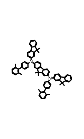 Cc1cccc(C)c1-c1ccc(N(c2ccc3c(c2)C(C)(C)c2ccccc2-3)c2ccc3c(c2)C(C)(C)c2cc(N(c4ccc(-c5c(C)cccc5C)cc4)c4ccc5c(c4)C(C)(C)c4ccccc4-5)ccc2-3)cc1